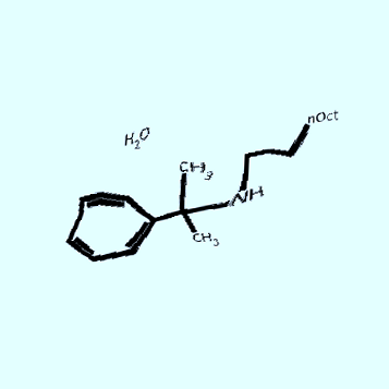 CCCCCCCCCCNC(C)(C)c1ccccc1.O